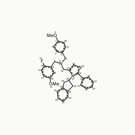 COc1ccc(CN(Cc2cc(OC)ccc2F)Cc2cnc(-c3ccccc3)n2C2Cc3ccccc3C2)cc1